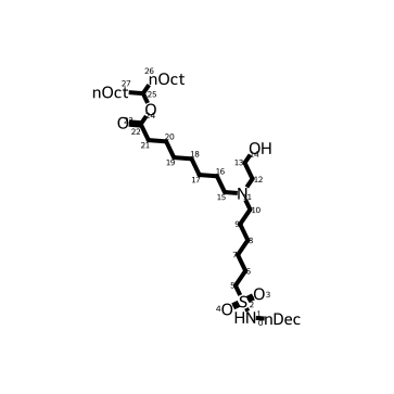 CCCCCCCCCCNS(=O)(=O)CCCCCCN(CCO)CCCCCCCC(=O)OC(CCCCCCCC)CCCCCCCC